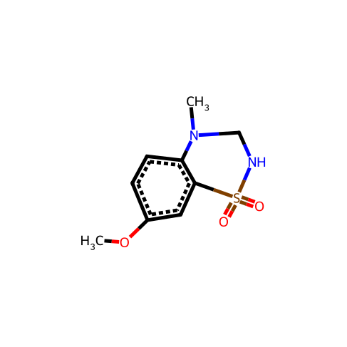 COc1ccc2c(c1)S(=O)(=O)NCN2C